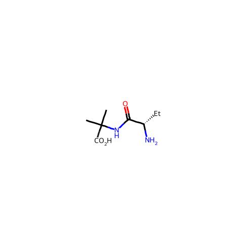 CC[C@H](N)C(=O)NC(C)(C)C(=O)O